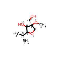 B[C@H](C)C1OC[C@](CO)(OC)C1O